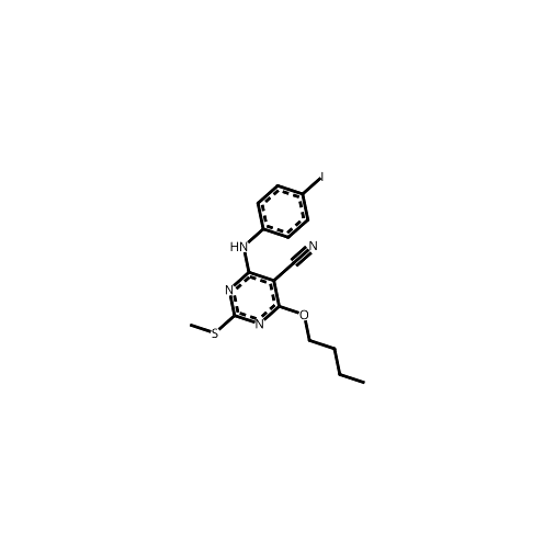 CCCCOc1nc(SC)nc(Nc2ccc(I)cc2)c1C#N